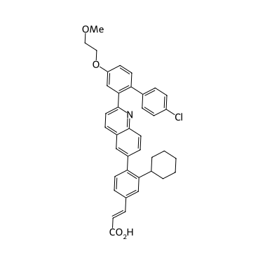 COCCOc1ccc(-c2ccc(Cl)cc2)c(-c2ccc3cc(-c4ccc(C=CC(=O)O)cc4C4CCCCC4)ccc3n2)c1